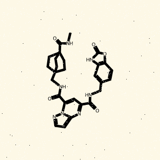 CNC(=O)C12CCC(CNC(=O)c3cc(C(=O)NCc4ccc5oc(=O)[nH]c5c4)nc4ccnn34)(CC1)CC2